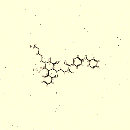 CN(CCCN1C(=O)NC(COCCN)=C(C(=O)O)C1c1ccccc1Cl)C(=O)c1ccc(Oc2ccccc2)cc1